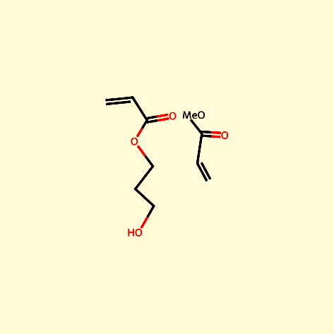 C=CC(=O)OC.C=CC(=O)OCCCO